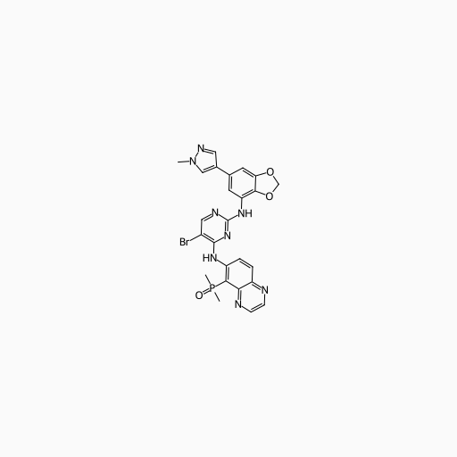 Cn1cc(-c2cc(Nc3ncc(Br)c(Nc4ccc5nccnc5c4P(C)(C)=O)n3)c3c(c2)OCO3)cn1